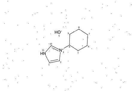 [OH-].c1c[n+](C2CCCCC2)c[nH]1